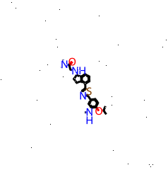 CNc1cc(-c2ncc(-c3cccc4c3CCC4NCC(=O)N(C)C)s2)ccc1OC(C)C